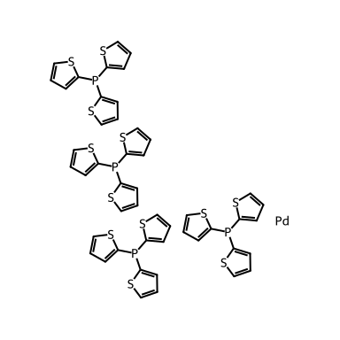 [Pd].c1csc(P(c2cccs2)c2cccs2)c1.c1csc(P(c2cccs2)c2cccs2)c1.c1csc(P(c2cccs2)c2cccs2)c1.c1csc(P(c2cccs2)c2cccs2)c1